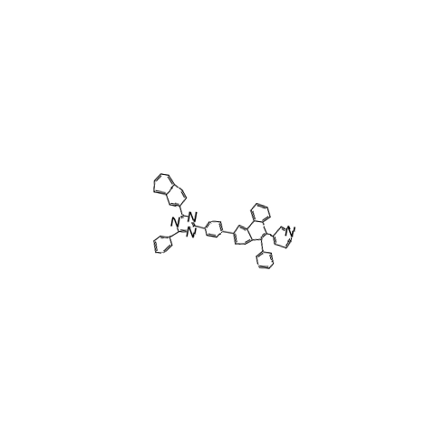 c1ccc(-c2nc(-c3ccc(-c4ccc5c(-c6ccccc6)c(-c6cccnc6)c6ccccc6c5c4)cc3)nc(-c3ccc4ccccc4c3)n2)cc1